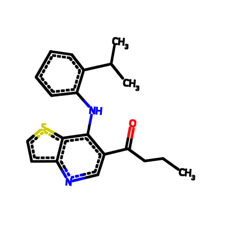 CCCC(=O)c1cnc2ccsc2c1Nc1ccccc1C(C)C